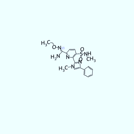 CCO/N=C(\N)c1ccc(S(=O)(=O)NC)c(-c2nc(-c3ccccc3)cn2C)n1